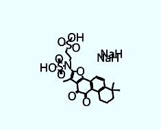 Cc1c(N(CCS(=O)(=O)O)S(=O)(=O)O)oc2c1C(=O)C(=O)c1c-2ccc2c1CCCC2(C)C.[NaH].[NaH]